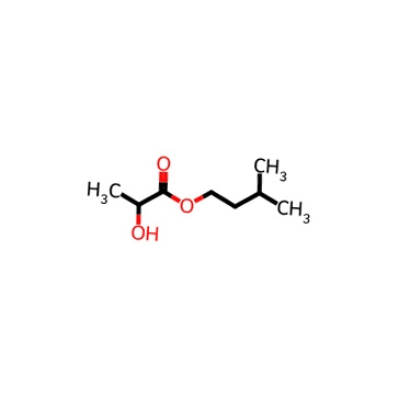 CC(C)CCOC(=O)C(C)O